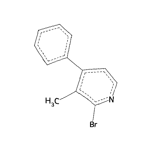 Cc1c(-c2ccccc2)ccnc1Br